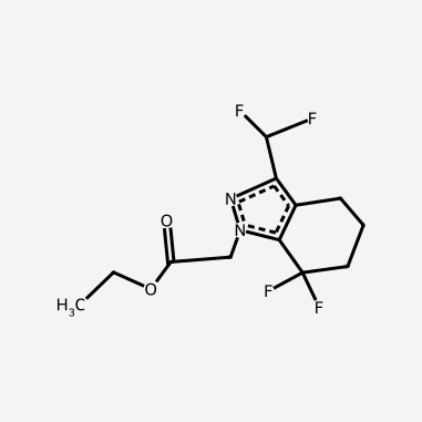 CCOC(=O)Cn1nc(C(F)F)c2c1C(F)(F)CCC2